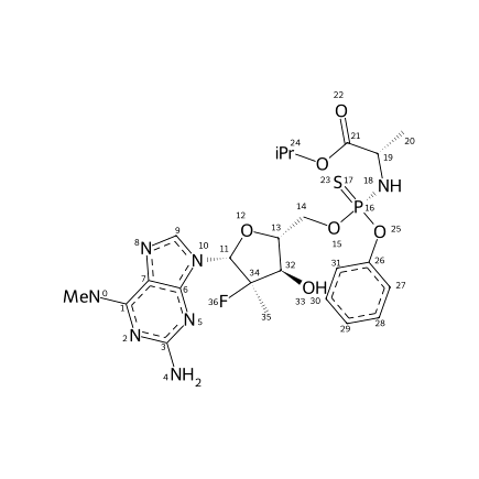 CNc1nc(N)nc2c1ncn2[C@@H]1O[C@H](CO[P@](=S)(N[C@@H](C)C(=O)OC(C)C)Oc2ccccc2)[C@@H](O)[C@@]1(C)F